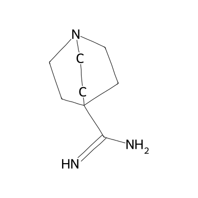 N=C(N)C12CCN(CC1)CC2